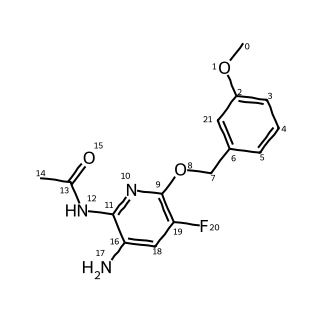 COc1cccc(COc2nc(NC(C)=O)c(N)cc2F)c1